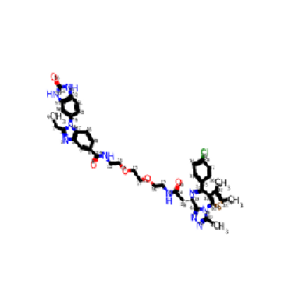 CCc1nc2cc(C(=O)NCCOCCOCCNC(=O)C[C@@H]3N=C(c4ccc(Cl)cc4)c4c(sc(C)c4C)-n4c(C)nnc43)ccc2n1-c1ccc2[nH]c(=O)[nH]c2c1